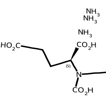 CN(C(=O)O)[C@@H](CCC(=O)O)C(=O)O.N.N.N